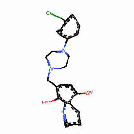 Oc1cc(CN2CCN(c3cccc(Cl)c3)CC2)c(O)c2ncccc12